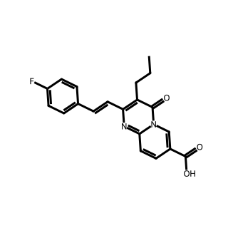 CCCc1c(/C=C/c2ccc(F)cc2)nc2ccc(C(=O)O)cn2c1=O